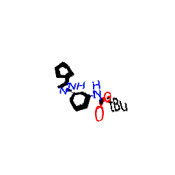 CC(C)(C)OC(=O)N[C@@H]1CCC[C@H](c2ncc(-c3ccccc3)[nH]2)C1